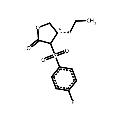 CCC[C@H]1COC(=O)C1S(=O)(=O)c1ccc(F)cc1